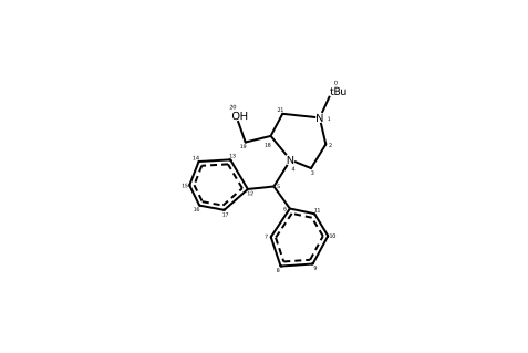 CC(C)(C)N1CCN(C(c2ccccc2)c2ccccc2)C(CO)C1